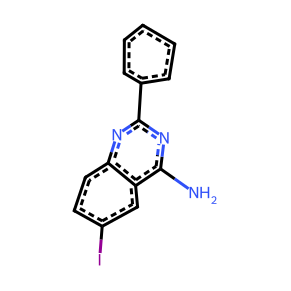 Nc1nc(-c2ccccc2)nc2ccc(I)cc12